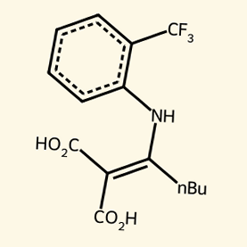 CCCCC(Nc1ccccc1C(F)(F)F)=C(C(=O)O)C(=O)O